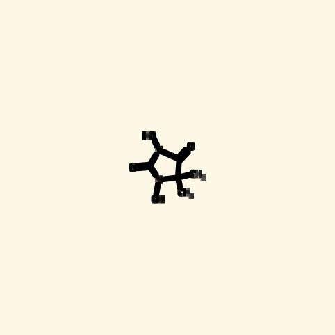 CC1(C)C(=O)N(O)C(=O)N1O